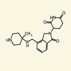 CC1(NCc2cccc3c2CN(C2CCC(=O)NC2=O)C3=O)CCNCC1